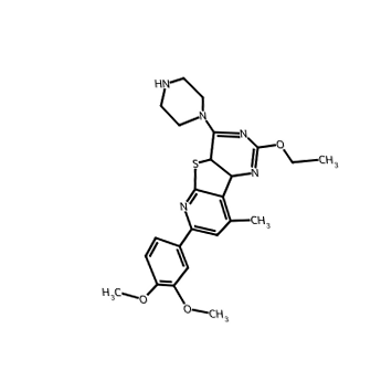 CCOC1=NC2c3c(C)cc(-c4ccc(OC)c(OC)c4)nc3SC2C(N2CCNCC2)=N1